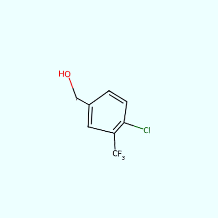 O[CH]c1ccc(Cl)c(C(F)(F)F)c1